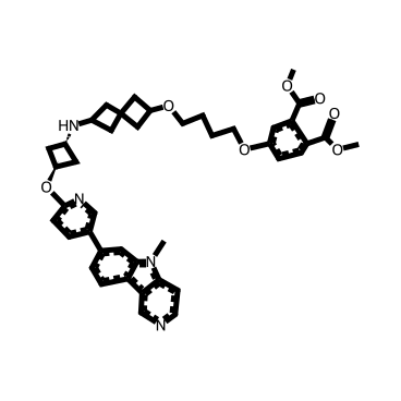 COC(=O)c1ccc(OCCCCOC2CC3(CC(N[C@H]4C[C@H](Oc5ccc(-c6ccc7c8cnccc8n(C)c7c6)cn5)C4)C3)C2)cc1C(=O)OC